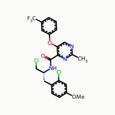 COc1ccc(C[C@H](CCl)NC(=O)c2nc(C)ncc2Oc2cccc(C(F)(F)F)c2)c(Cl)c1